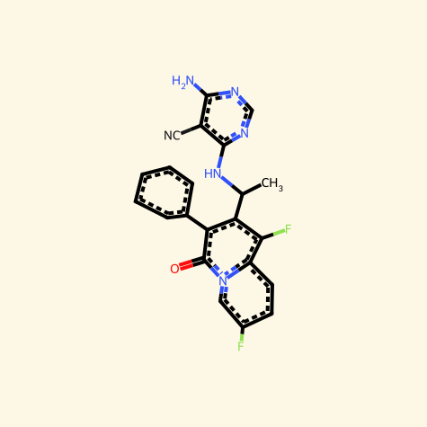 CC(Nc1ncnc(N)c1C#N)c1c(-c2ccccc2)c(=O)n2cc(F)ccc2c1F